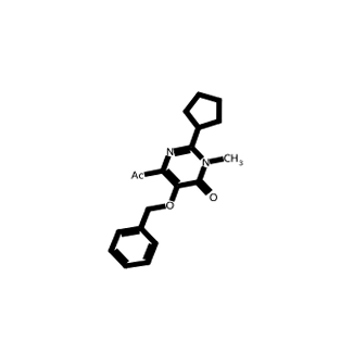 CC(=O)c1nc(C2CCCC2)n(C)c(=O)c1OCc1ccccc1